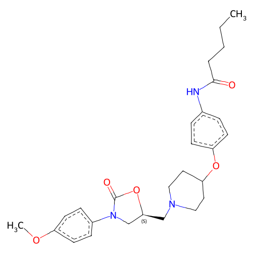 CCCCC(=O)Nc1ccc(OC2CCN(C[C@H]3CN(c4ccc(OC)cc4)C(=O)O3)CC2)cc1